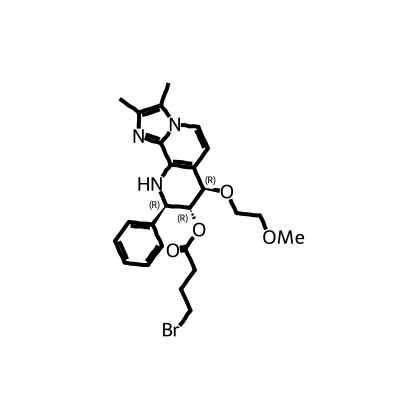 COCCO[C@@H]1c2ccn3c(C)c(C)nc3c2N[C@H](c2ccccc2)[C@H]1OC(=O)CCCBr